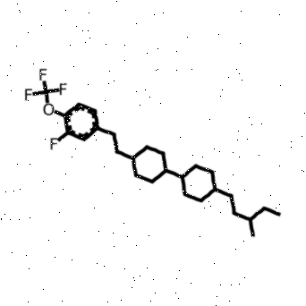 CCC(C)CCC1CCC(C2CCC(CCc3ccc(OC(F)(F)F)c(F)c3)CC2)CC1